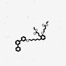 CCOC(=O)CCCOc1cccc(CCCCCCOc2cccc(-c3cccc(-c4ccccc4)c3)c2)c1CCC(=O)OCC